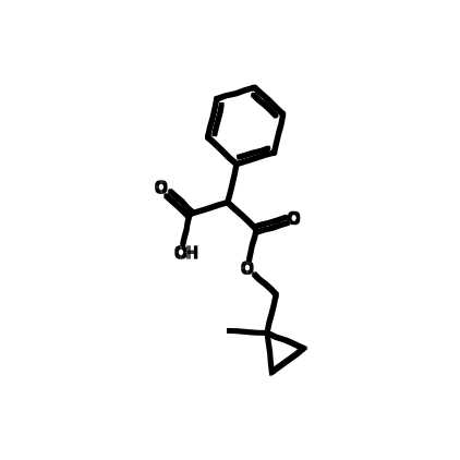 CC1(COC(=O)C(C(=O)O)c2ccccc2)CC1